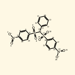 O=[N+]([O-])c1ccc(S(=O)(=O)N(c2cc[c]cc2)S(=O)(=O)c2ccc([N+](=O)[O-])cc2)cc1